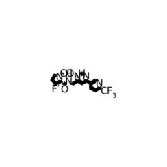 O=C(NCc1cc(-c2ccc(C(F)(F)F)nc2)ncn1)[C@@H]1[C@H](F)CCN1C(=O)O